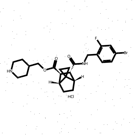 Cl.O=C(OCC1CCNCC1)[C@H]1[C@H](C(=O)NCc2ccc(Br)cc2F)[C@@H]2CC[C@H]1C21CC1